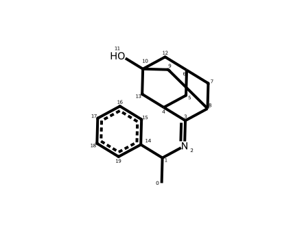 CC(N=C1C2CC3CC1CC(O)(C3)C2)c1ccccc1